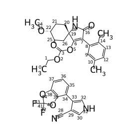 CCOC(=O)OC1=C(c2cc(C)ccc2C)C(=O)N[C@]12CC[C@@H](OC)CC2.N#Cc1c[nH]cc1-c1cccc2c1OC(F)(F)O2